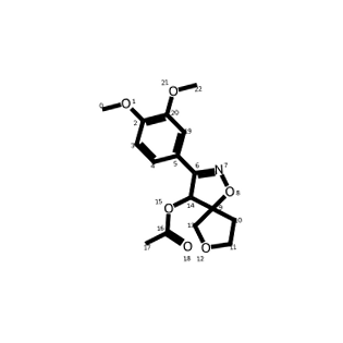 COc1ccc(C2=NOC3(CCOC3)C2OC(C)=O)cc1OC